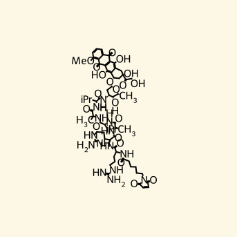 COc1cccc2c1C(=O)c1c(O)c3c(c(O)c1C2=O)CC(O)(C(=O)CO)C[C@H]3O[C@@H]1C[C@H](NC(=O)C(NC(=O)C(C)NC(=O)C(NC(=O)C(C)NC(=O)C(CCCNC(=N)N)NC(=O)C(CCCNC(=N)N)NC(=O)CCCCCN2C(=O)C=CC2=O)C(C)C)C(C)C)[C@H](O)[C@H](C)O1